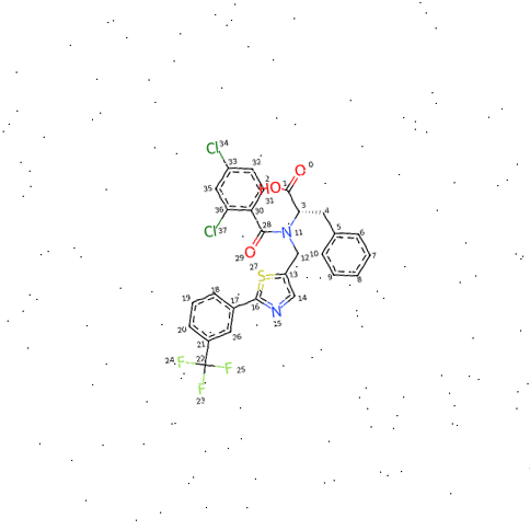 O=C(O)[C@H](Cc1ccccc1)N(Cc1cnc(-c2cccc(C(F)(F)F)c2)s1)C(=O)c1ccc(Cl)cc1Cl